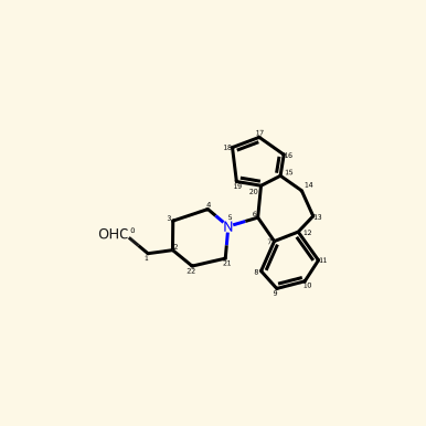 O=CCC1CCN(C2c3ccccc3CCc3ccccc32)CC1